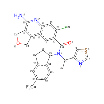 CC(c1cscn1)N(C(=O)c1cc2c3c(c(N)nc2cc1F)COC3)C1CCc2cc(C(F)(F)F)ccc21